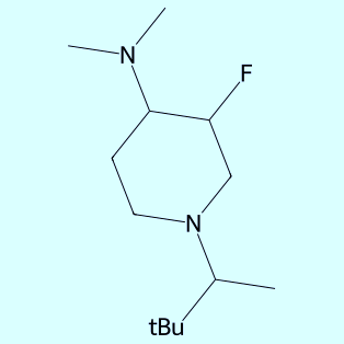 CC(N1CCC(N(C)C)C(F)C1)C(C)(C)C